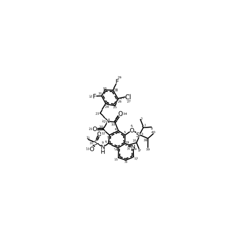 CC(C)[Si](Oc1c2c(c(NS(C)(=O)=O)c3cccnc13)C(=O)N(Cc1cc(Cl)c(F)cc1F)C2=O)(C(C)C)C(C)C